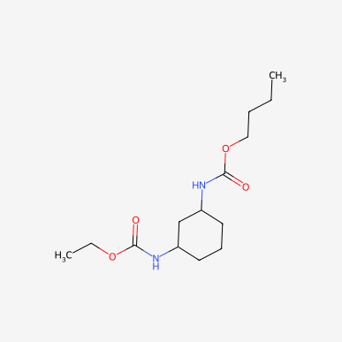 CCCCOC(=O)NC1CCCC(NC(=O)OCC)C1